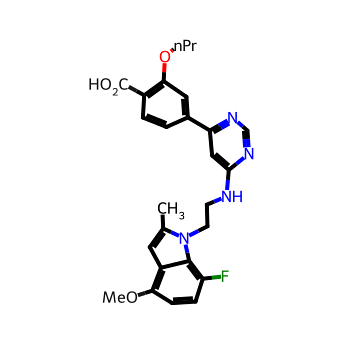 CCCOc1cc(-c2cc(NCCn3c(C)cc4c(OC)ccc(F)c43)ncn2)ccc1C(=O)O